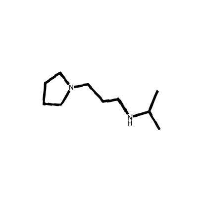 CC(C)NCCCN1CCCC1